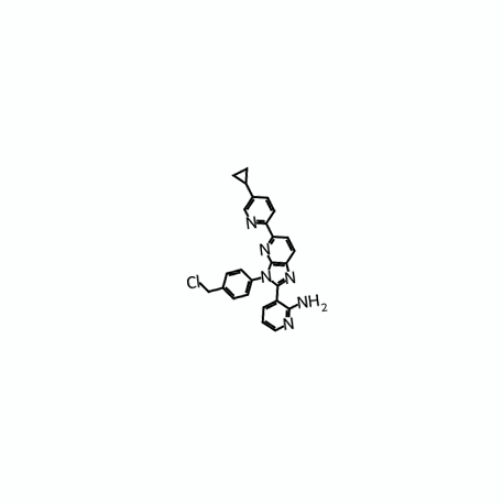 Nc1ncccc1-c1nc2ccc(-c3ccc(C4CC4)cn3)nc2n1-c1ccc(CCl)cc1